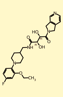 CCOc1cc(F)ccc1N1CCC(CNC(=O)[C@H](O)[C@@H](O)C(=O)N2Cc3ccncc3C2)CC1